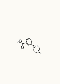 COC(=O)c1cccc(N2CCN(C)CC2)c1